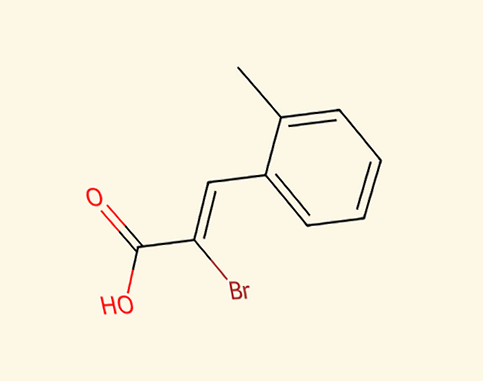 Cc1ccccc1C=C(Br)C(=O)O